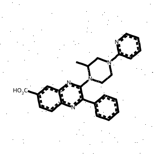 CC1CN(c2ccccn2)CCN1c1nc2cc(C(=O)O)ccc2nc1-c1ccccc1